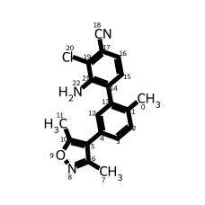 Cc1ccc(-c2c(C)noc2C)cc1-c1ccc(C#N)c(Cl)c1N